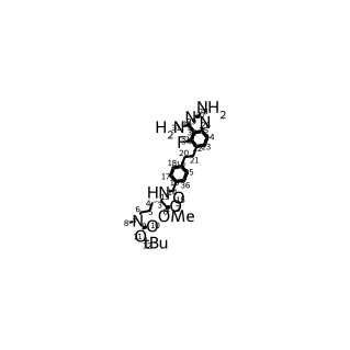 COC(=O)[C@H](CCCN(C)C(=O)OC(C)(C)C)NC(=O)c1ccc(CCc2ccc3nc(N)nc(N)c3c2F)cc1